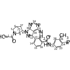 C#CC(=O)N1CC2CC1C(n1nc(-c3cccc(C(=O)Nc4ccc(C(C)C)c(C)c4)c3)c3c(N)ncnc31)C2